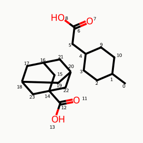 CC1CCC(CC(=O)O)CC1.O=C(O)C12CC3CC(CC(C3)C1)C2